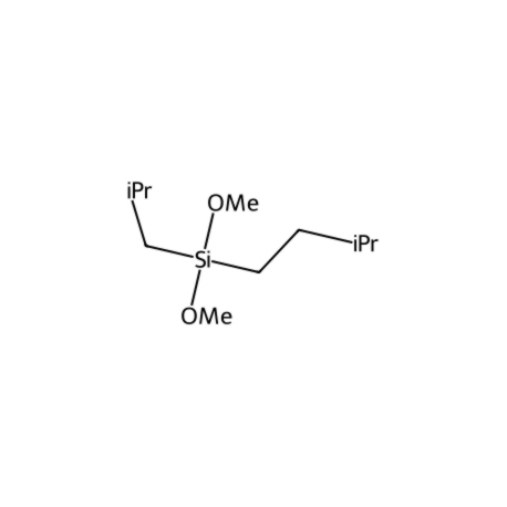 CO[Si](CCC(C)C)(CC(C)C)OC